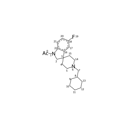 CC(=O)N1CC2(CCN(CC3CCCCC3)CC2)c2cc(F)ccc21